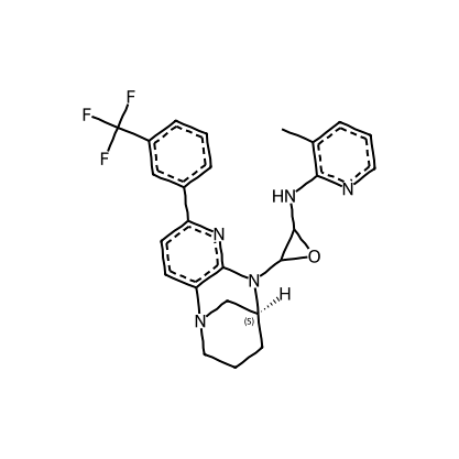 Cc1cccnc1NC1OC1N1c2nc(-c3cccc(C(F)(F)F)c3)ccc2N2CCC[C@H]1C2